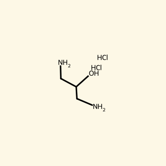 Cl.Cl.NCC(O)CN